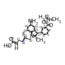 Cc1c(-c2cccc(S(=O)(=O)N(C)C)c2)c2cc(N)ccc2n1C/C(F)=C/CNC(=O)O